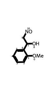 COc1ccccc1C(O)CN=O